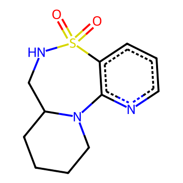 O=S1(=O)NCC2CCCCN2c2ncccc21